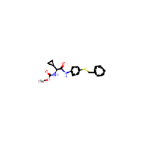 CC(C)(C)OC(=O)N[C@H](C(=O)Nc1ccc(SCc2ccccc2)cc1)C1CC1